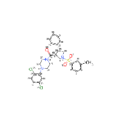 Cc1cccc(S(=O)(=O)N2C[C@@H](C(=O)N3CCN(c4cc(Cl)ccc4Cl)CC3)[C@H](c3ccccc3)C2)c1